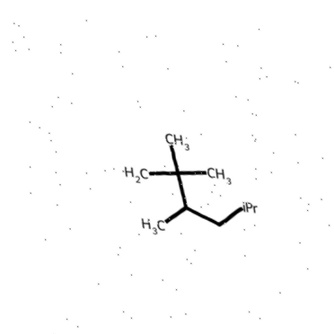 [CH2]C(C)(C)C(C)CC(C)C